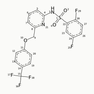 O=S(=O)(Nc1cccc(COc2ccc(C(F)(F)F)cc2)n1)c1cc(F)ccc1F